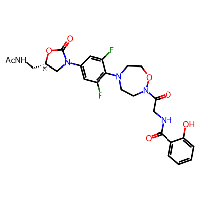 CC(=O)NC[C@H]1CN(c2cc(F)c(N3CCON(C(=O)CNC(=O)c4ccccc4O)CC3)c(F)c2)C(=O)O1